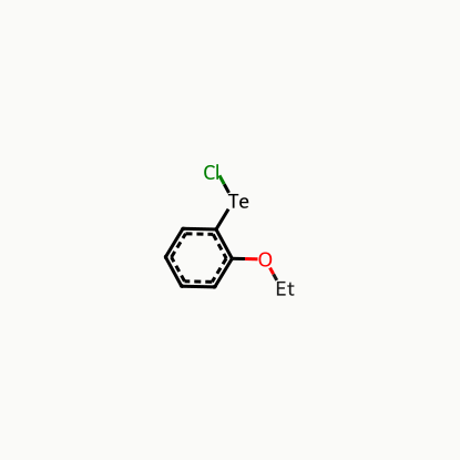 CCOc1ccccc1[Te]Cl